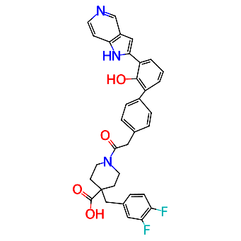 O=C(Cc1ccc(-c2cccc(-c3cc4cnccc4[nH]3)c2O)cc1)N1CCC(Cc2ccc(F)c(F)c2)(C(=O)O)CC1